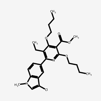 CCCCOc1nc(-c2ccc3c(c2)c(Cl)cn3C)c(CC)c(OCCCC)c1C(=O)OC